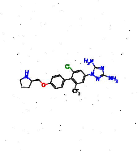 Nc1nc(N)n(-c2cc(Cl)c(-c3ccc(OC[C@H]4CCCN4)cc3)c(C(F)(F)F)c2)n1